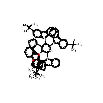 CC(C)(C)c1ccc2c(c1)c1ccccc1n2-c1nc(-n2c3ccccc3c3cc(C(C)(C)C)ccc32)c(-n2c3ccccc3c3cc(C(C)(C)C)ccc32)c(-c2ccccc2-c2nc3ccccc3s2)c1-n1c2ccccc2c2cc(C(C)(C)C)ccc21